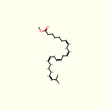 COC(=O)CCCCC/C=C\C/C=C\C/C=C\C/C=C\CCC/C=C\C(C)C